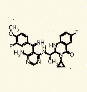 COc1ccc(C(=N)c2c(N)ncnc2NC(C)C2Nc3ccc(F)cc3C(=O)N2C2CC2)cc1F